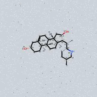 C[C@H]1CC[C@H]([C@@H](C)[C@H]2[C@H](O)C[C@H]3[C@@H]4CC=C5C[C@@H](O)CC[C@]5(C)[C@H]4CC[C@]23C)NC1